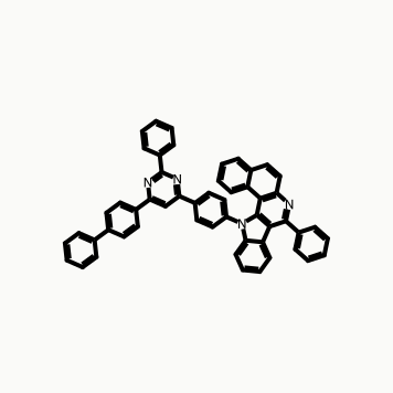 c1ccc(-c2ccc(-c3cc(-c4ccc(-n5c6ccccc6c6c(-c7ccccc7)nc7ccc8ccccc8c7c65)cc4)nc(-c4ccccc4)n3)cc2)cc1